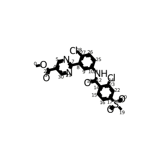 COC(=O)c1cnc(-c2cc(NC(=O)c3ccc(S(C)(=O)=O)cc3Cl)ccc2Cl)nc1